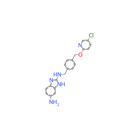 Nc1ccc2nc(NCc3ccc(COc4ccc(Cl)cn4)cc3)[nH]c2c1